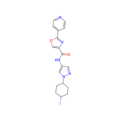 O=C(Nc1cnn(C2CCC(I)CC2)c1)c1coc(-c2ccncc2)n1